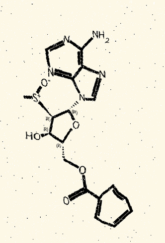 C[S+]([O-])[C@@H]1[C@H](O)[C@@H](COC(=O)c2ccccc2)O[C@H]1n1cnc2c(N)ncnc21